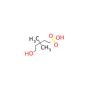 CC(C)(CCO)CCS(=O)(=O)O